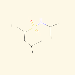 CC(C)CC(C)S(=O)(=O)NC(C)C